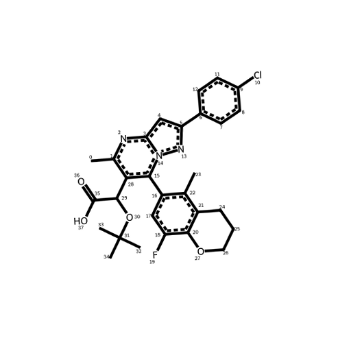 Cc1nc2cc(-c3ccc(Cl)cc3)nn2c(-c2cc(F)c3c(c2C)CCCO3)c1C(OC(C)(C)C)C(=O)O